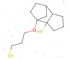 SCCCOC12CCC(C1)C1CCCC12S